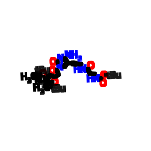 CC(C)(C)OC(=O)NCCC(=O)NCC#Cc1cn(C2CC(O[Si](C)(C)C(C)(C)C)C(CO[Si](C)(C)C(C)(C)C)O2)c(=O)nc1N